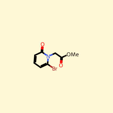 COC(=O)Cn1c(Br)cccc1=O